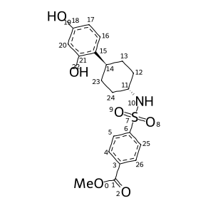 COC(=O)c1ccc(S(=O)(=O)N[C@H]2CC[C@H](c3ccc(O)cc3O)CC2)cc1